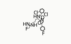 N=C(CF)NCCCC(NC(=O)c1c(Cl)cccc1Cl)c1ncc(-c2ccc(F)cc2)o1